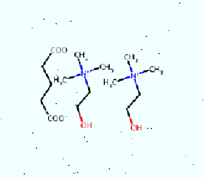 C[N+](C)(C)CCO.C[N+](C)(C)CCO.O=C([O-])CCCC(=O)[O-]